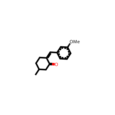 COc1cccc(/C=C2/CCC(C)CC2=O)c1